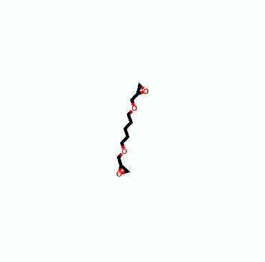 C(CCOCC1CO1)CCOCC1CO1